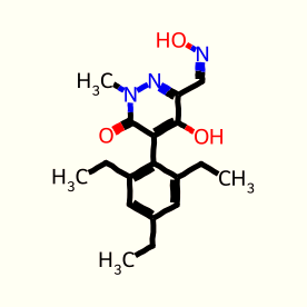 CCc1cc(CC)c(-c2c(O)c(/C=N\O)nn(C)c2=O)c(CC)c1